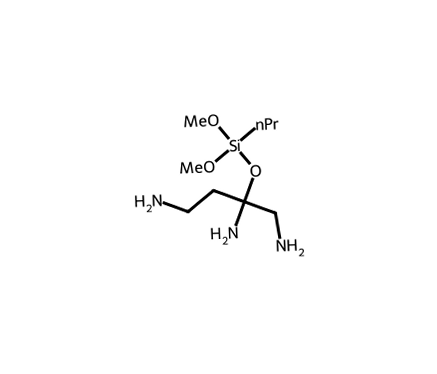 CCC[Si](OC)(OC)OC(N)(CN)CCN